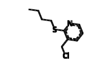 CCCCSc1ncccc1CCl